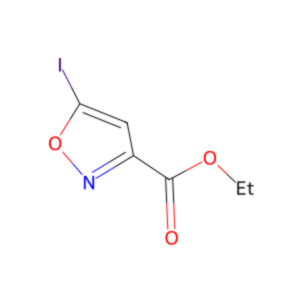 CCOC(=O)c1cc(I)on1